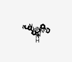 CN(C)Cc1cncc(-c2ccc3[nH]nc(-c4nc5c(N6CCCCC6)cccc5[nH]4)c3n2)c1